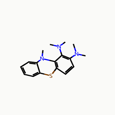 CN(C)c1ccc2c(c1N(C)C)N(C)c1ccccc1S2